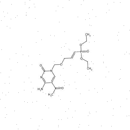 CCOP(=O)(C=CCOCn1cc(C(C)=O)c(N)nc1=O)OCC